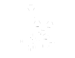 CC(C)(C)NC(=O)Cn1c(-c2ccc(OCc3ccccc3)cc2)c(-c2ccccc2)c2sc(C(=O)O)cc21